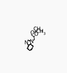 CC1(C)OCC(Cn2cnc3ccccc32)O1